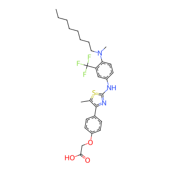 CCCCCCCCN(C)c1ccc(Nc2nc(-c3ccc(OCC(=O)O)cc3)c(C)s2)cc1C(F)(F)F